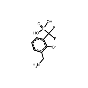 NCc1cccc(C(F)(F)P(=O)(O)O)c1Br